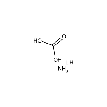 N.O=C(O)O.[LiH]